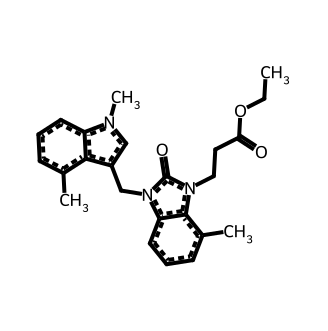 CCOC(=O)CCn1c(=O)n(Cc2cn(C)c3cccc(C)c23)c2cccc(C)c21